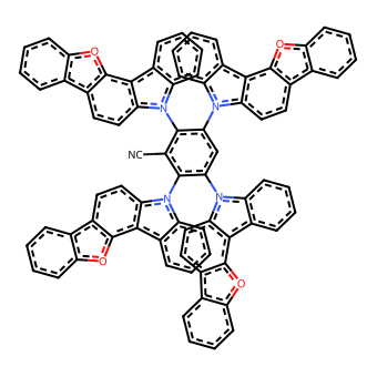 N#Cc1c(-n2c3ccccc3c3c4oc5ccccc5c4ccc32)c(-n2c3ccccc3c3c4oc5ccccc5c4ccc32)cc(-n2c3ccccc3c3c4oc5ccccc5c4ccc32)c1-n1c2ccccc2c2c3oc4ccccc4c3ccc21